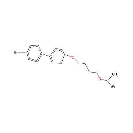 CC(C)C(C)OCCCCOc1ccc(-c2ccc(Br)cc2)cc1